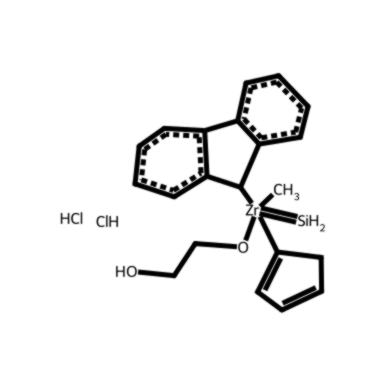 Cl.Cl.[CH3][Zr](=[SiH2])([O]CCO)([C]1=CC=CC1)[CH]1c2ccccc2-c2ccccc21